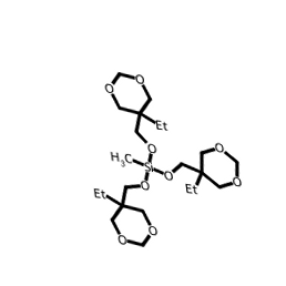 CCC1(CO[Si](C)(OCC2(CC)COCOC2)OCC2(CC)COCOC2)COCOC1